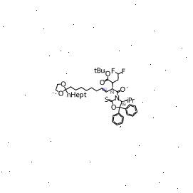 CCCCCCCC1(CCCCCC/C=C/[C@H](C(=O)N2C(=S)OC(c3ccccc3)(c3ccccc3)[C@@H]2C(C)C)C(CC(F)F)C(=O)OC(C)(C)C)OCCO1